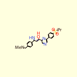 CNCc1ccc(C(=N)/C=C(\O)c2cncc(-c3ccc(S(=O)(=O)C(C)C)cc3)n2)cc1